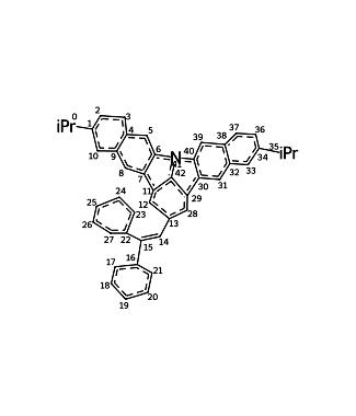 CC(C)c1ccc2cc3c(cc2c1)c1cc(C=C(c2ccccc2)c2ccccc2)cc2c4cc5cc(C(C)C)ccc5cc4n3c12